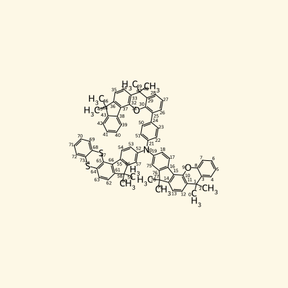 CC1(C)c2ccccc2Oc2c1ccc1c2-c2ccc(N(c3ccc(-c4cccc5c4Oc4c(ccc6c4-c4ccccc4C6(C)C)C5(C)C)cc3)c3ccc4c(c3)C(C)(C)c3ccc5c(c3-4)Sc3ccccc3S5)cc2C1(C)C